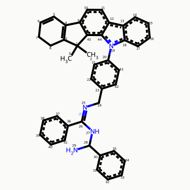 CC1(C)C2=C(C=CCC2)c2ccc3c4ccccc4n(-c4ccc(C/N=C(\NC(N)c5ccccc5)c5ccccc5)cc4)c3c21